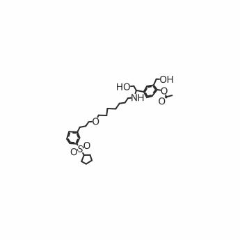 CC(=O)Oc1ccc(C(CO)NCCCCCCCOCCCc2cccc(S(=O)(=O)C3CCCC3)c2)cc1CO